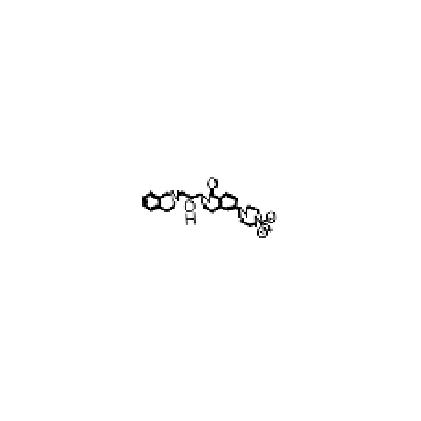 CS(=O)(=O)N1CCN(c2ccc3c(c2)CCN(CC(O)CN2CCc4ccccc4C2)C3=O)CC1